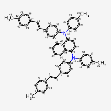 Cc1ccc(C=Cc2ccc(N(c3ccc(C)cc3)c3ccc(N(c4ccc(C)cc4)c4ccc(C=Cc5ccc(C)cc5)cc4)c4ccccc34)cc2)cc1